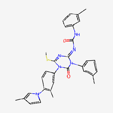 CSc1nc(=NC(=O)Nc2cccc(C)c2)n(-c2cccc(C)c2)c(=O)n1-c1ccc(-n2ccc(C)c2)c(C)c1